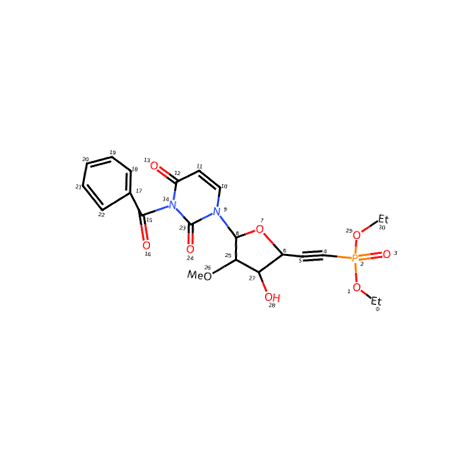 CCOP(=O)(C#CC1OC(n2ccc(=O)n(C(=O)c3ccccc3)c2=O)C(OC)C1O)OCC